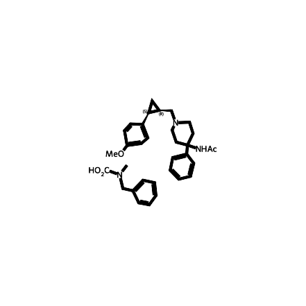 CN(Cc1ccccc1)C(=O)O.COc1ccc([C@H]2C[C@H]2CN2CCC(NC(C)=O)(c3ccccc3)CC2)cc1